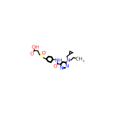 CCCN(CC1CC1)c1cc(C(=O)Nc2ccc(C[S+]([O-])CCC(=O)O)cc2)ncn1